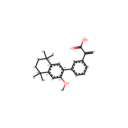 C=C(C(=O)O)c1cccc(-c2cc3c(cc2OC)C(C)(C)CCC3(C)C)c1